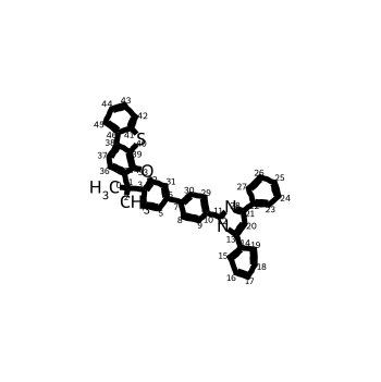 CC1(C)c2ccc(-c3ccc(-c4nc(-c5ccccc5)cc(-c5ccccc5)n4)cc3)cc2Oc2c1ccc1c2sc2ccccc21